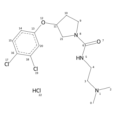 CN(C)CCNC(=O)N1CCC(Oc2ccc(Cl)c(Cl)c2)C1.Cl